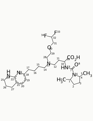 CC1CCC(C)N1C(=O)NC(CCN(CCCCc1ccc2c(n1)NCCC2)CCOCC(F)F)C(=O)O